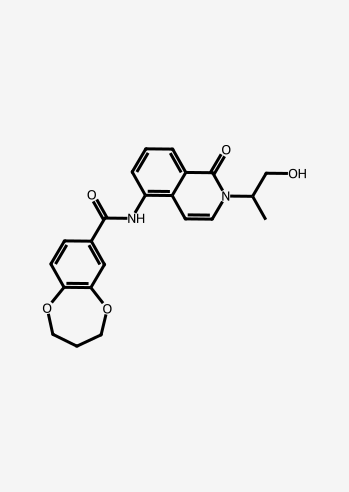 CC(CO)n1ccc2c(NC(=O)c3ccc4c(c3)OCCCO4)cccc2c1=O